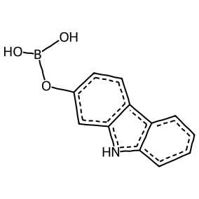 OB(O)Oc1ccc2c(c1)[nH]c1ccccc12